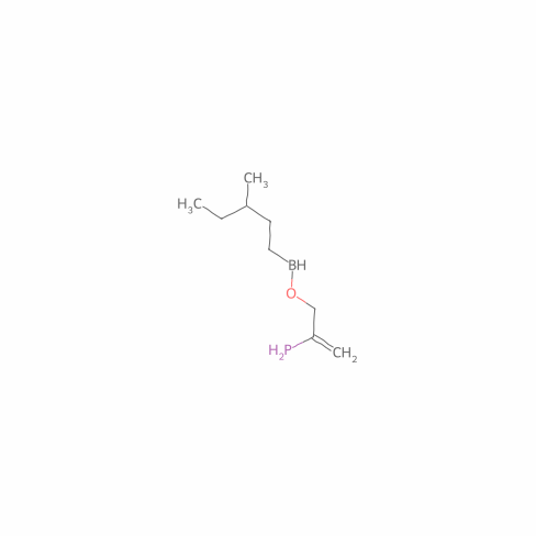 C=C(P)COBCCC(C)CC